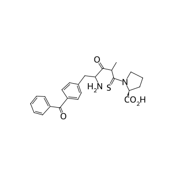 CC(C(=O)C(N)Cc1ccc(C(=O)c2ccccc2)cc1)C(=S)N1CCC[C@H]1C(=O)O